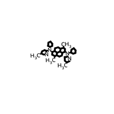 Cc1ccc(N(c2ccccc2)c2cc(C)c3ccc4c(N(c5ccccc5)c5ccc(C)cn5)cc(C)c5ccc2c3c54)nc1